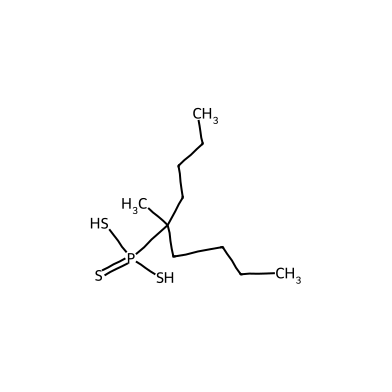 CCCCC(C)(CCCC)P(=S)(S)S